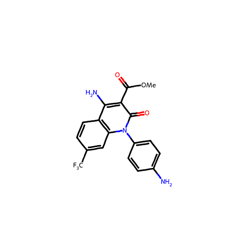 COC(=O)c1c(N)c2ccc(C(F)(F)F)cc2n(-c2ccc(N)cc2)c1=O